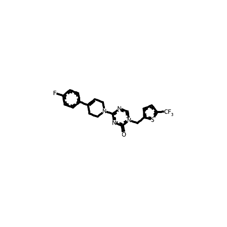 O=c1nc(N2CC=C(c3ccc(F)cc3)CC2)ncn1Cc1ccc(C(F)(F)F)s1